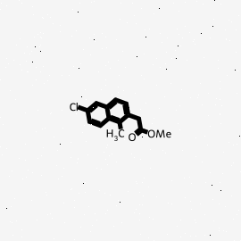 COC(=O)Cc1ccc2cc(Cl)ccc2c1C